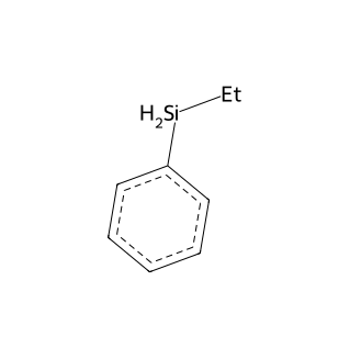 CC[SiH2]c1ccccc1